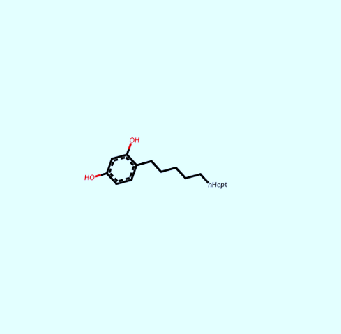 CCCCCCCCCCCCc1ccc(O)cc1O